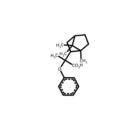 CC(Oc1ccccc1)(C(=O)O)C1CC2CCC1(C)C2(C)C